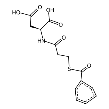 O=C(O)C[C@H](NC(=O)CCSC(=O)c1ccccc1)C(=O)O